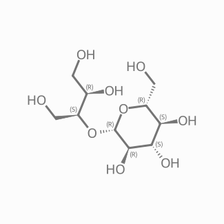 OC[C@@H](O)[C@H](CO)O[C@@H]1O[C@H](CO)[C@@H](O)[C@H](O)[C@H]1O